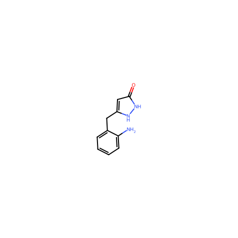 Nc1ccccc1Cc1cc(=O)[nH][nH]1